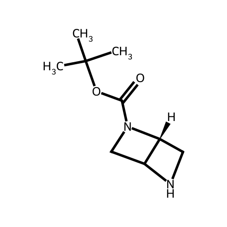 CC(C)(C)OC(=O)N1CC2NC[C@H]21